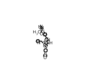 CC(Cn1cnnn1)Oc1cc(-c2cnc(Nc3cn(C4CCC(N5CCOCC5)CC4)nc3OCCc3ccccn3)nc2)ccc1Cl